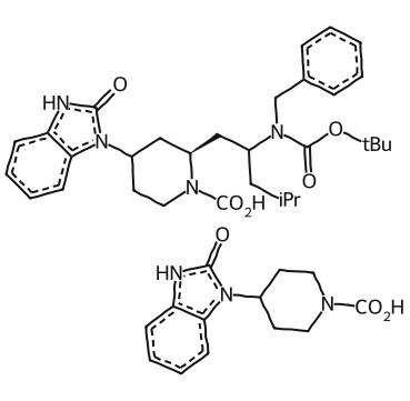 CC(C)CC(C[C@@H]1CC(n2c(=O)[nH]c3ccccc32)CCN1C(=O)O)N(Cc1ccccc1)C(=O)OC(C)(C)C.O=C(O)N1CCC(n2c(=O)[nH]c3ccccc32)CC1